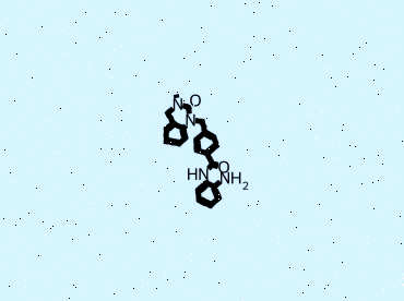 CN1Cc2ccccc2N(Cc2ccc(C(=O)Nc3ccccc3N)cc2)C1=O